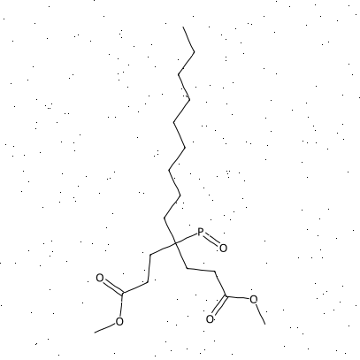 CCCCCCCCCC(CCC(=O)OC)(CCC(=O)OC)P=O